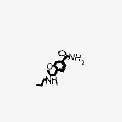 CCCNC1COc2cc(C(N)=O)ccc2C1